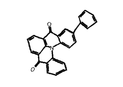 O=c1c2ccccc2n2c3ccc(-c4ccccc4)cc3c(=O)c3cccc1c32